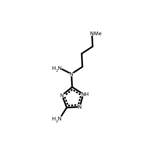 CNCCCN(N)c1nc(N)n[nH]1